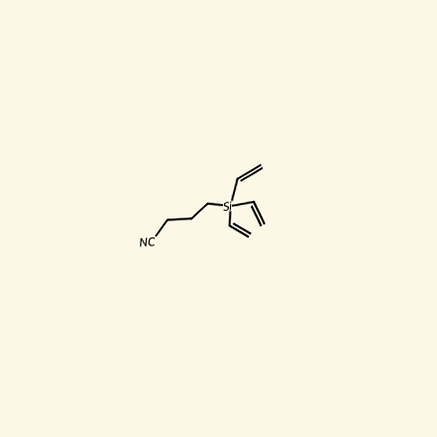 C=C[Si](C=C)(C=C)CCCC#N